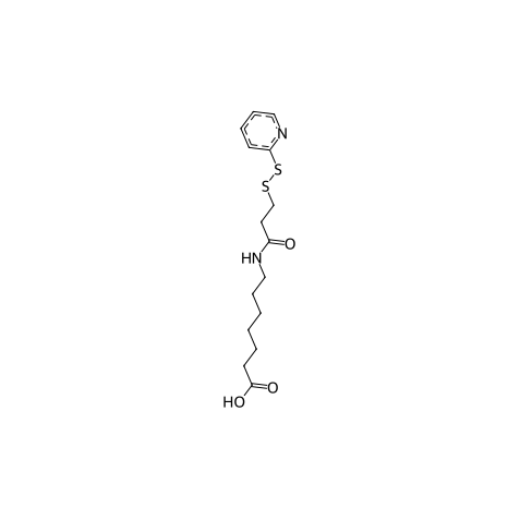 O=C(O)CCCCCCNC(=O)CCSSc1ccccn1